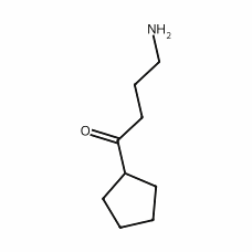 NCCCC(=O)C1CCCC1